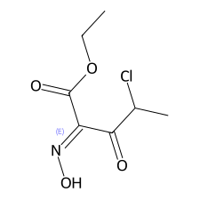 CCOC(=O)/C(=N/O)C(=O)C(C)Cl